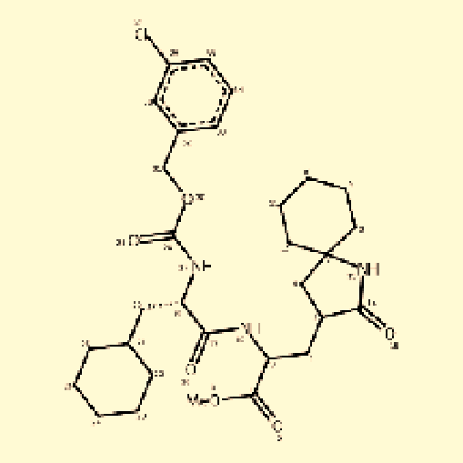 COC(=O)C(CC1CC2(CCCCC2)NC1=O)NC(=O)[C@H](CC1CCCCC1)NC(=O)OCc1cccc(Cl)c1